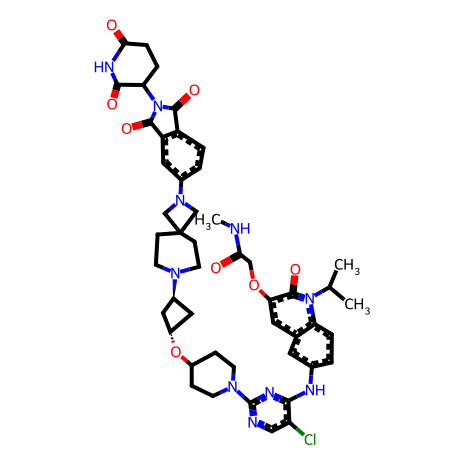 CNC(=O)COc1cc2cc(Nc3nc(N4CCC(O[C@H]5C[C@H](N6CCC7(CC6)CN(c6ccc8c(c6)C(=O)N(C6CCC(=O)NC6=O)C8=O)C7)C5)CC4)ncc3Cl)ccc2n(C(C)C)c1=O